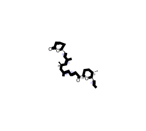 C/C=C/[C@@H]1O[C@H](C(=O)/C=C/C=C(\C)C[C@@H](C)/C=C(C)\C=C\[C@H]2CC=CC(=O)O2)CC[C@@H]1C